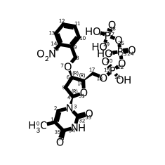 Cc1cn([C@H]2C[C@@H](OCc3ccccc3[N+](=O)[O-])[C@@H](COP(=O)(O)OP(=O)(O)OP(=O)(O)O)O2)c(=O)[nH]c1=O